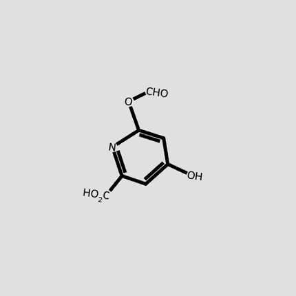 O=COc1cc(O)cc(C(=O)O)n1